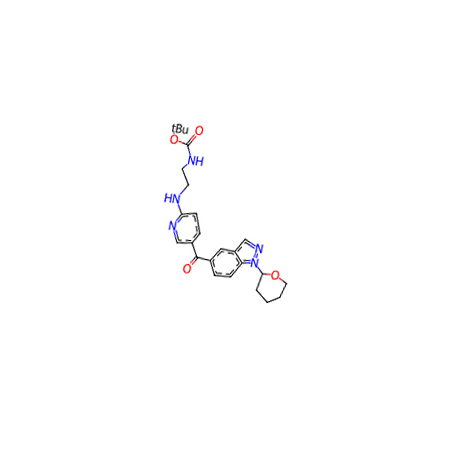 CC(C)(C)OC(=O)NCCNc1ccc(C(=O)c2ccc3c(cnn3C3CCCCO3)c2)cn1